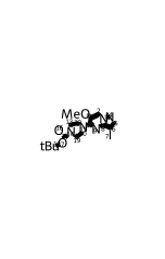 COc1cn2ncc(I)c2nc1N1CCN(C(=O)OC(C)(C)C)CC1